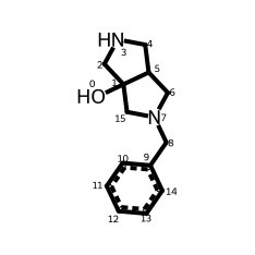 OC12CNCC1CN(Cc1ccccc1)C2